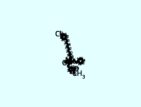 Cn1ccc(Cc2cn(CCc3ccccc3)c(SCCCCCCCCc3ccc(Cl)cc3)nc2=O)cc1=O